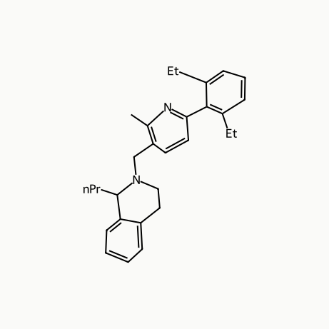 CCCC1c2ccccc2CCN1Cc1ccc(-c2c(CC)cccc2CC)nc1C